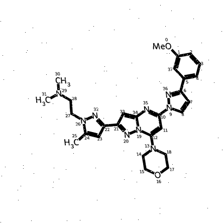 COc1cccc(-c2ccn(-c3cc(N4CCOCC4)n4nc(-c5cc(C)n(CCN(C)C)n5)cc4n3)n2)c1